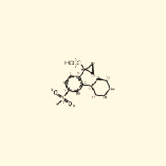 CS(=O)(=O)c1ccc(C2(C(=O)O)CC2)c(C2CCCCC2)c1